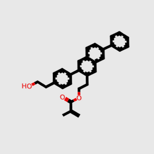 C=C(C)C(=O)OCCc1cc2cc(-c3ccccc3)ccc2cc1-c1ccc(CCO)cc1